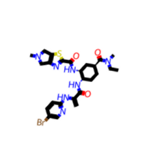 C=C(Nc1ccc(Br)cn1)C(=O)N[C@H]1CC[C@H](C(=O)N(C)CC)C[C@H]1NC(=O)c1nc2c(s1)CN(C)C2